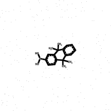 CC1(C)c2ccccc2C(C)(C)c2cc(B(O)O)ccc21